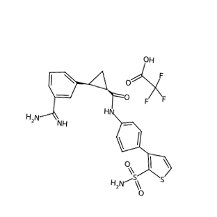 N=C(N)c1cccc([C@H]2C[C@H]2C(=O)Nc2ccc(-c3ccsc3S(N)(=O)=O)cc2)c1.O=C(O)C(F)(F)F